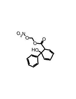 O=C(OCO[N+](=O)[O-])C1C=CC=CC1(O)c1ccccc1